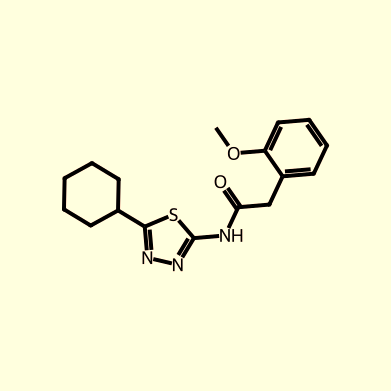 COc1ccccc1CC(=O)Nc1nnc(C2CCCCC2)s1